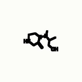 C=C1CNCCN1N(C)C(C)CO